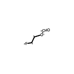 O=COCCF